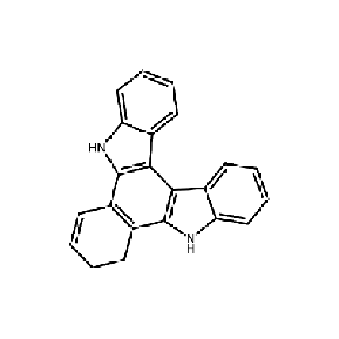 C1=Cc2c(c3[nH]c4ccccc4c3c3c2[nH]c2ccccc23)CC1